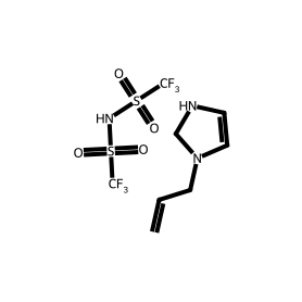 C=CCN1C=CNC1.O=S(=O)(NS(=O)(=O)C(F)(F)F)C(F)(F)F